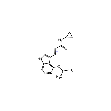 CC(C)Oc1ncnc2[nH]cc(/C=C/C(=O)NC3CC3)c12